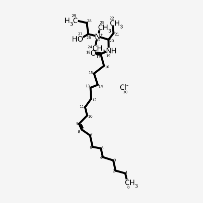 CCCCCCCC/C=C\CCCCCCCC(=O)NC(CC)[N+](C)(C)C(O)CC.[Cl-]